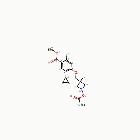 CC1(COc2cc(F)c(C(=O)OC(C)(C)C)cc2C2CC2)CN(OC(=O)C(C)(C)C)C1